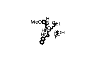 CCC(=O)CCCCC[C@H](NC(=O)Cc1c[nH]c2ccc(OC)cc12)c1ncc(-c2ccc3ccccc3c2)[nH]1.O=C(O)C(F)(F)F